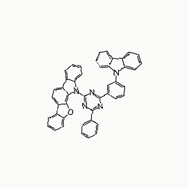 c1ccc(-c2nc(-c3cccc(-n4c5ccccc5c5ccccc54)c3)nc(-n3c4ccccc4c4ccc5c6ccccc6oc5c43)n2)cc1